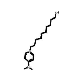 CN(C)c1cc[n+](CCCCCCCCCCS)cc1